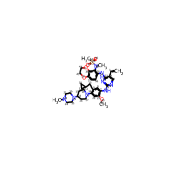 C=Cc1cnc(Nc2cc(CC3CC3)c(N3CCC(N4CCN(C)CC4)CC3)cc2OC)nc1Nc1ccc2c(c1N(C)S(C)(=O)=O)OCCO2